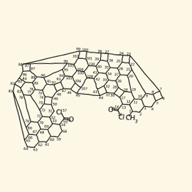 CC1CC2CC3CC4C3C3C2C2C1C(C(=O)Cl)C1C5C2C2C3C3C4C4C3C3C2C2C5C1C1C5C2C2C3C3C4C4C3C3C2C2C5C1C1C5C6C7C8C9CC%10C%11C(C(=O)Cl)CCC%12CC%13CCC%14C%15C%13C(C%12%11)C%11C%10C%10C9C8C8C9C%10C%10C%11C%15C%14C%11C%10C%10C%11C%11C%12C(C9%10)C9C8C7C6C6C9C7C%12C%11C8C4C4C8C7C7C6C5C1C2C7C34